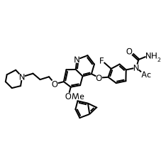 COc1cc2c(Oc3ccc(N(C(C)=O)C(N)=O)cc3F)ccnc2cc1OCCCN1CCCCC1.c1cc2cc-2c1